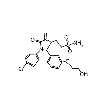 NS(=O)(=O)CCC1NC(=O)N(c2ccc(Cl)cc2)C1c1cccc(OCCO)c1